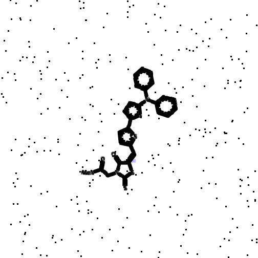 CNC(=O)CN1C(=O)/C(=C\c2ccc(-c3ccc(N(c4ccccc4)c4ccccc4)s3)s2)SC1=S